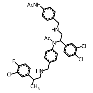 CC(=O)Nc1ccc(CNCC(c2ccc(Cl)c(Cl)c2)N(C(C)=O)c2ccc(CNCC(C)c3ccc(F)c(Cl)c3)cc2)cc1